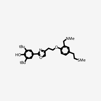 CNCc1cc(CCSC)ccc1OCCc1coc(-c2cc(C(C)(C)C)c(O)c(C(C)(C)C)c2)n1